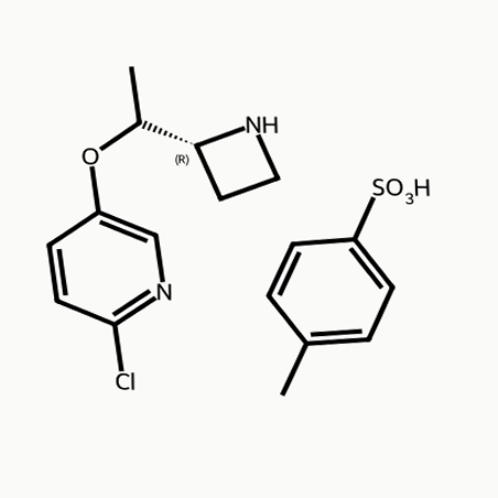 CC(Oc1ccc(Cl)nc1)[C@H]1CCN1.Cc1ccc(S(=O)(=O)O)cc1